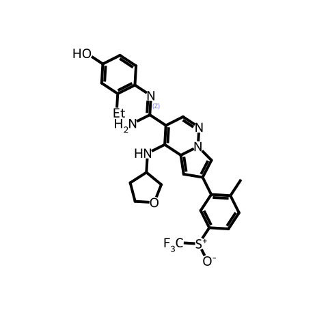 CCc1cc(O)ccc1/N=C(\N)c1cnn2cc(-c3cc([S+]([O-])C(F)(F)F)ccc3C)cc2c1NC1CCOC1